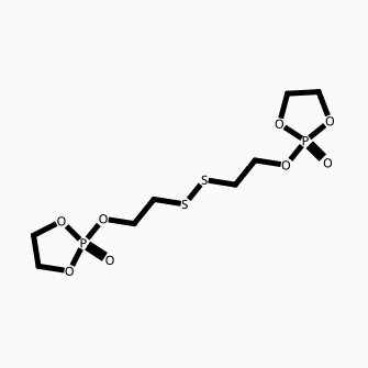 O=P1(OCCSSCCOP2(=O)OCCO2)OCCO1